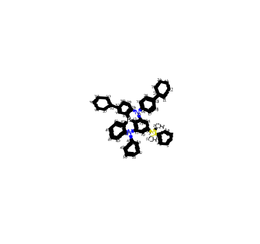 CS(C)(c1ccccc1)c1cc2c3c(c1)N(c1ccc(C4CCCCC4)cc1)c1ccc(C4CCCCC4)cc1B3c1ccccc1N2c1ccccc1